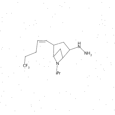 CC(C)N1C2CC1C(NN)CC2/C=C\CCC(F)(F)F